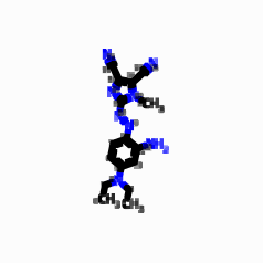 CCN(CC)c1ccc(N=Nc2nc(C#N)c(C#N)n2C)c(N)c1